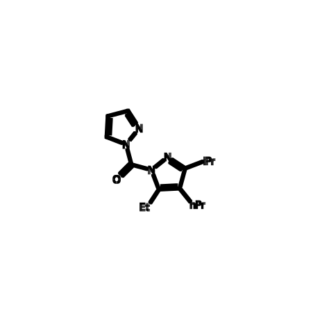 CCCc1c(C(C)C)nn(C(=O)n2cccn2)c1CC